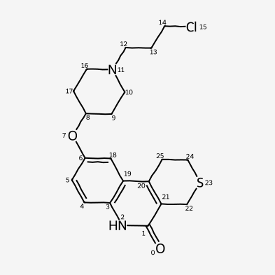 O=c1[nH]c2ccc(OC3CCN(CCCCl)CC3)cc2c2c1CSCC2